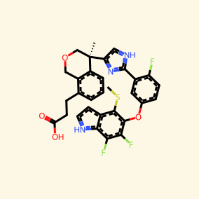 CSc1c(Oc2ccc(F)c(-c3nc([C@]4(C)COCc5c(CCC(=O)O)cccc54)c[nH]3)c2)c(F)c(F)c2[nH]ccc12